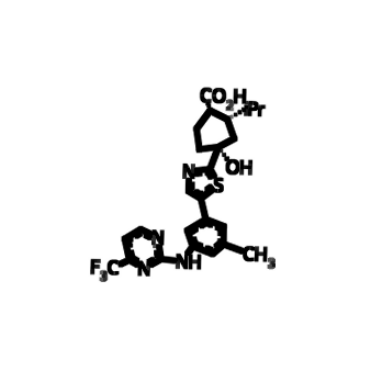 Cc1cc(Nc2nccc(C(F)(F)F)n2)cc(-c2cnc([C@@]3(O)CC[C@H](C(=O)O)[C@H](C(C)C)C3)s2)c1